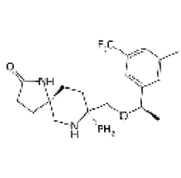 Cc1cc([C@@H](C)OC[C@]2(P)CC[C@]3(CCC(=O)N3)CN2)cc(C(F)(F)F)c1